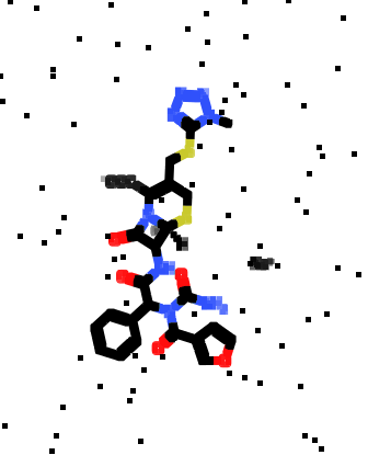 Cn1nnnc1SCC1=C(C(=O)[O-])N2C(=O)C(NC(=O)C(c3ccccc3)N(C(N)=O)C(=O)c3ccoc3)[C@@H]2SC1.[Na+]